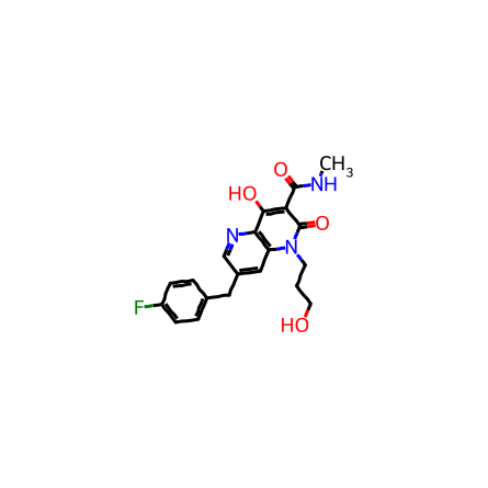 CNC(=O)c1c(O)c2ncc(Cc3ccc(F)cc3)cc2n(CCCO)c1=O